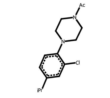 CC(=O)N1CCN(c2ccc(C(C)C)cc2Cl)CC1